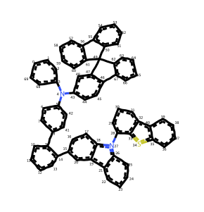 c1ccc(N(c2ccc(-c3ccccc3-c3ccc4c(c3)c3ccccc3n4-c3cccc4c3sc3ccccc34)cc2)c2ccc3c(c2)C2(c4ccccc4-c4ccccc42)c2ccccc2-3)cc1